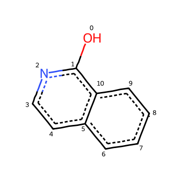 Oc1nccc2cc[c]cc12